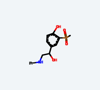 CC(C)NCC(O)c1ccc(O)c(S(C)(=O)=O)c1